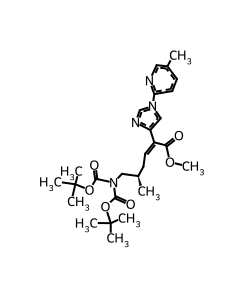 COC(=O)/C(=C\C[C@@H](C)CN(C(=O)OC(C)(C)C)C(=O)OC(C)(C)C)c1cn(-c2ccc(C)cn2)cn1